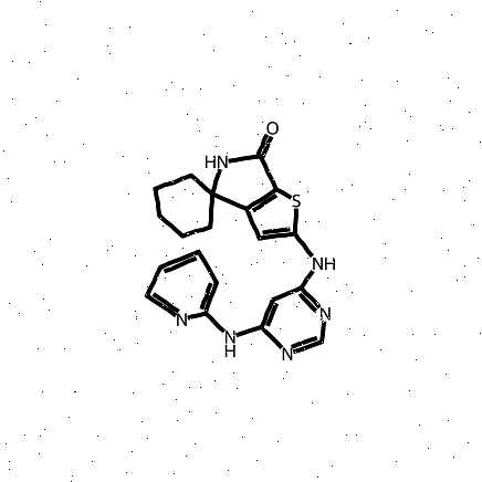 O=C1NC2(CCCCC2)c2cc(Nc3cc(Nc4ccccn4)ncn3)sc21